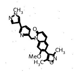 COc1cc2c(ccc(=O)n2Cc2ccc(-c3cnn(C)c3)cn2)cc1-c1c(C)noc1C